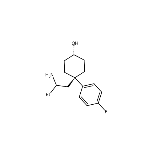 CCC(N)C[C@]1(c2ccc(F)cc2)CC[C@@H](O)CC1